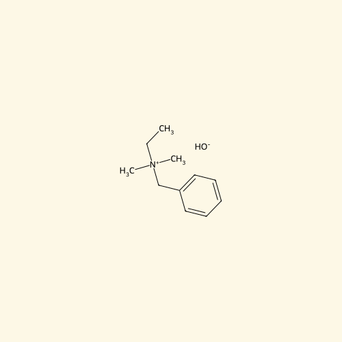 CC[N+](C)(C)Cc1ccccc1.[OH-]